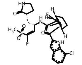 CS(=O)(=O)/C(F)=C\[C@H](C[C@H]1CCNC1=O)NC(=O)[C@@H]1[C@@H]2CC[C@@H](CC2(F)F)N1C(=O)c1cc2cccc(Cl)c2[nH]1